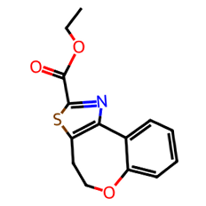 CCOC(=O)c1nc2c(s1)CCOc1ccccc1-2